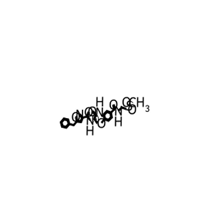 CS(=O)(=O)CCNC(=O)c1ccc2c(c1)NC(=O)[C@@H](NC(=O)c1cc(Cc3ccccc3)on1)CO2